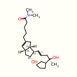 CN(C)C(=O)CCCCC1=C[C@H]2C[C@@H](O)[C@H](/C=C/C[C@@](C)(O)C3CCCC3)[C@H]2C1